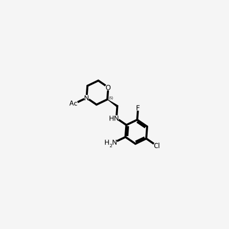 CC(=O)N1CCO[C@@H](CNc2c(N)cc(Cl)cc2F)C1